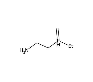 C=[PH](CC)CCN